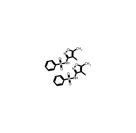 Cc1onc(NS(=O)(=O)c2ccccc2)c1I.Cc1onc(NS(=O)(=O)c2ccccc2)c1I